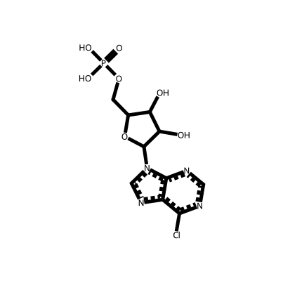 O=P(O)(O)OCC1OC(n2cnc3c(Cl)ncnc32)C(O)C1O